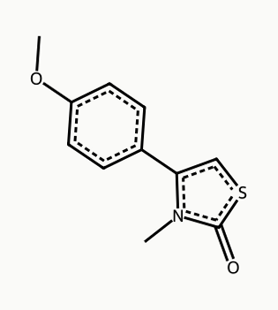 COc1ccc(-c2csc(=O)n2C)cc1